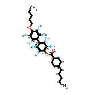 CCCCCOc1c(F)c(F)c(-c2c(F)c(F)c(OC(=O)C3CCC(CCCCC)CC3)c(F)c2F)c(F)c1F